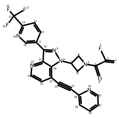 C=C(F)C(=O)N1CC(n2nc(-c3ccc(C(F)(F)F)nc3)c3nccc(C#Cc4ccccn4)c32)C1